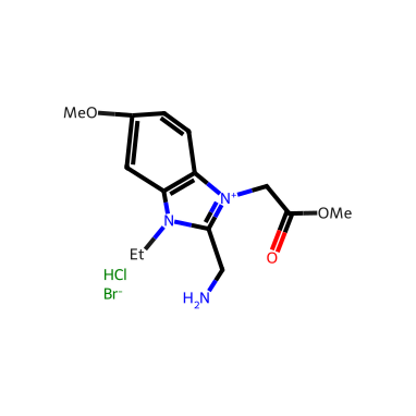 CCn1c(CN)[n+](CC(=O)OC)c2ccc(OC)cc21.Cl.[Br-]